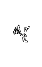 CC[C@H](C)n1cnc2cc(-c3ccc4c(c3)N([C@H]3C[C@@H](N5CCCCC5)C3)C(=O)C43CCN(C4COC4)CC3)nc(Cl)c21